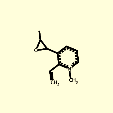 C=Cc1c(C2OC2I)ccc[n+]1C